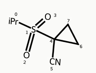 CC(C)S(=O)(=O)C1(C#N)CC1